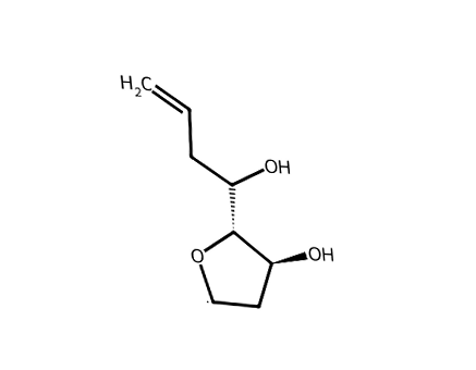 C=CCC(O)[C@H]1O[CH]C[C@@H]1O